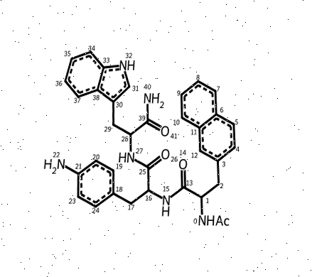 CC(=O)NC(Cc1ccc2ccccc2c1)C(=O)NC(Cc1ccc(N)cc1)C(=O)NC(Cc1c[nH]c2ccccc12)C(N)=O